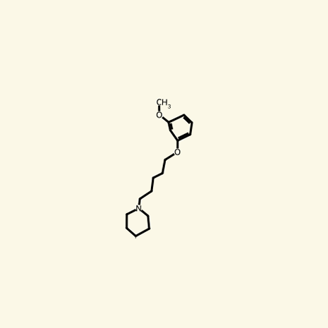 COc1cccc(OCCCCCN2CC[CH]CC2)c1